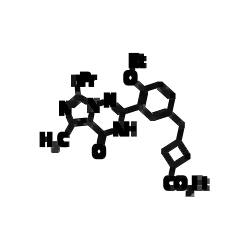 CCCc1nc(C)c2c(=O)[nH]c(-c3cc(CC4CC(C(=O)OCC)C4)ccc3OCC)nn12